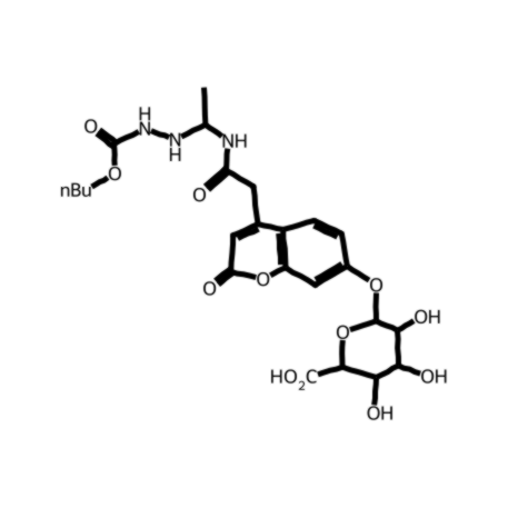 CCCCOC(=O)NNC(C)NC(=O)Cc1cc(=O)oc2cc(OC3OC(C(=O)O)C(O)C(O)C3O)ccc12